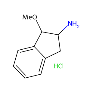 COC1c2ccccc2CC1N.Cl